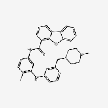 Cc1ccc(NC(=O)c2cccc3c2oc2ccccc23)cc1Nc1cccc(CN2CCN(C)CC2)c1